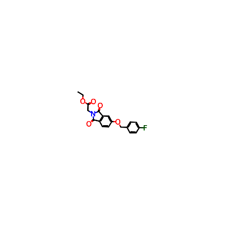 CCOC(=O)CN1C(=O)c2ccc(OCc3ccc(F)cc3)cc2C1=O